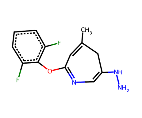 CC1=CC(Oc2c(F)cccc2F)=NC=C(NN)C1